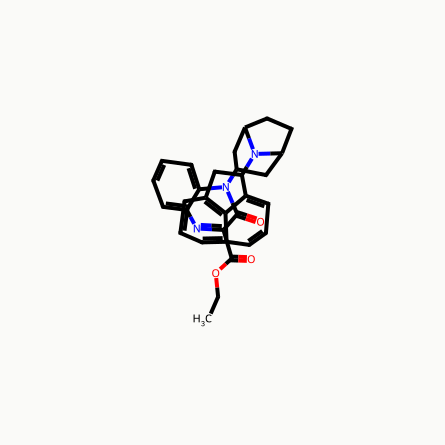 CCOC(=O)c1nc2ccccc2n(C2CC3CCC(C2)N3C2Cc3cccc4cccc2c34)c1=O